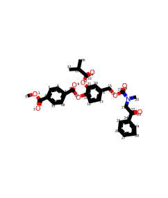 COC(=O)c1ccc(C(=O)Oc2ccc(COC(=O)N(C)CC(=O)c3ccccc3)cc2OC(=O)C(C)C)cc1